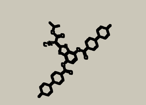 [C-]#[N+]C(C(=O)OC(C)C)=C1Sc2c(OC(=O)C3CCC(C4CCC(C)CC4)CC3)ccc(OC(=O)C3CCC(C4CCC(C)CC4)CC3)c2S1